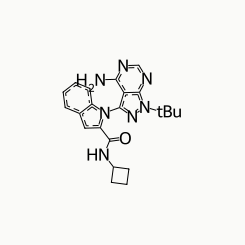 CC(C)(C)n1nc(-n2c(C(=O)NC3CCC3)cc3ccccc32)c2c(N)ncnc21